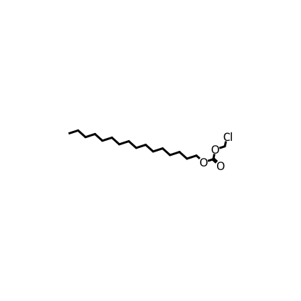 CCCCCCCCCCCCCCCCOC(=O)OCCl